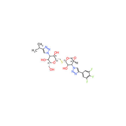 CC(C)c1cn(C2C(O)[C@@H](CO)O[C@@H](CS[C@@H]3OC4O[C@@H]4C(n4cc(-c5cc(F)c(F)c(F)c5)nn4)C3O)[C@@H]2O)nn1